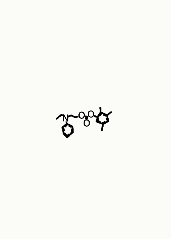 CCN(CCOC(=O)Oc1cc(C)cc(C)c1C)c1ccccc1